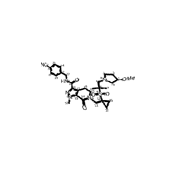 CO[C@@H]1CCN(CC(C)(C)S(=O)(=O)C2(CN3CCc4c(C(=O)NCc5ccc(C#N)cc5)nn(C)c4C3=O)CC2)C1